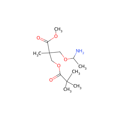 COC(=O)C(C)(COC(=O)C(C)(C)C)COC(C)N